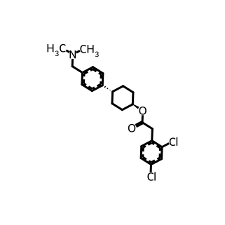 CN(C)Cc1ccc([C@H]2CC[C@H](OC(=O)Cc3ccc(Cl)cc3Cl)CC2)cc1